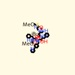 CCC(C)C(C(=O)NC(Cc1ccccc1)C(O)CN(Cc1ccc(-c2ccccn2)cc1)NC(=O)C(CC1CCCCC1)NC(=O)OC)C1CNC(=O)N1Cc1csc(COC)n1